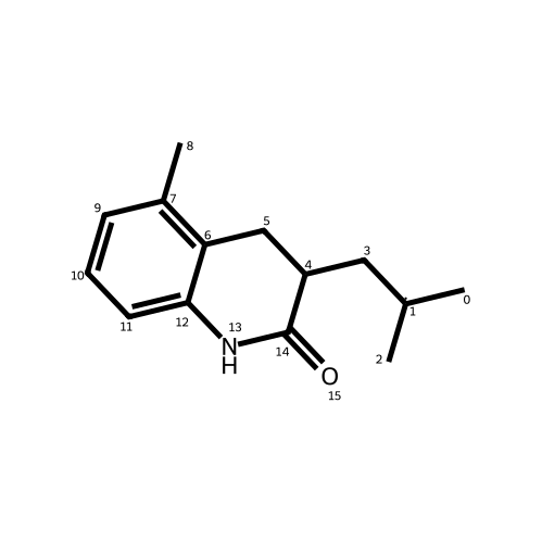 C[C](C)CC1Cc2c(C)cccc2NC1=O